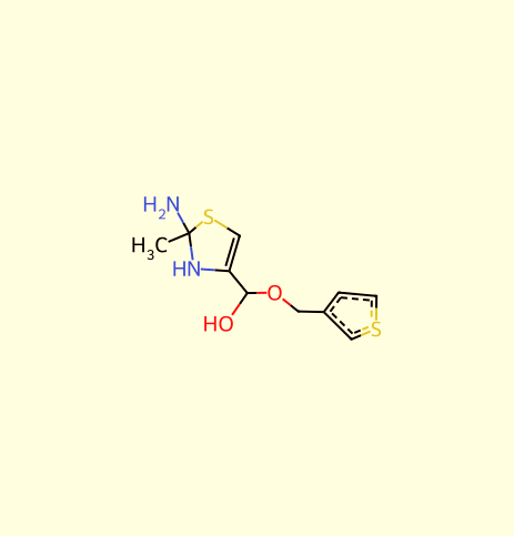 CC1(N)NC(C(O)OCc2ccsc2)=CS1